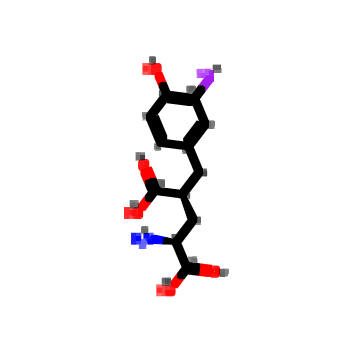 N[C@@H](C[C@H](Cc1ccc(O)c([125I])c1)C(=O)O)C(=O)O